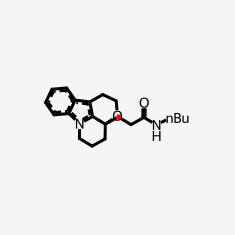 CCCCNC(=O)CCC12CCCn3c1c(c1ccccc13)CCO2